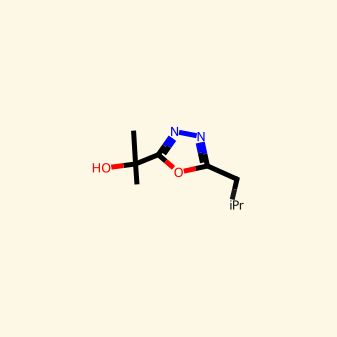 CC(C)Cc1nnc(C(C)(C)O)o1